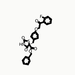 O=C1NC(=O)[C@](Cc2ccc(OCC(=O)c3ccccc3F)cc2)(C(=O)OCc2ccccc2)S1